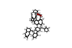 c1ccc(N(c2ccc3c(c2)c2ccccc2n3-c2cccc3ccccc23)c2ccc3c4c(cccc24)C2(c4ccccc4Sc4ccccc42)c2ccccc2-3)cc1